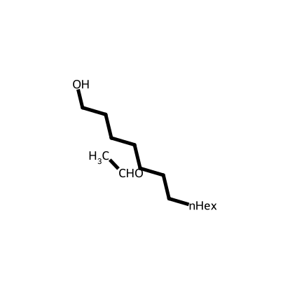 CC=O.CCCCCCCCCCCCCO